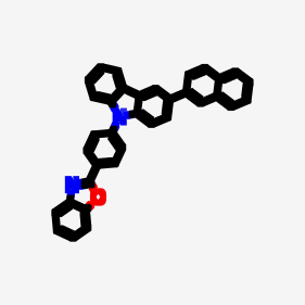 c1ccc2cc(-c3ccc4c(c3)c3ccccc3n4-c3ccc(-c4nc5ccccc5o4)cc3)ccc2c1